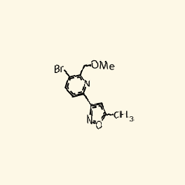 COCc1nc(-c2cc(C)on2)ccc1Br